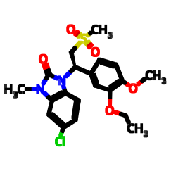 CCOc1cc([C@H](CS(C)(=O)=O)n2c(=O)n(C)c3cc(Cl)ccc32)ccc1OC